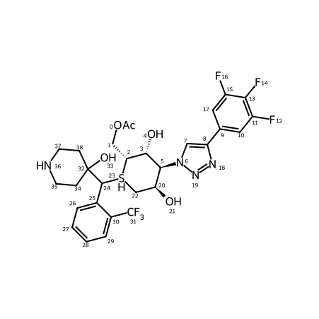 CC(=O)OC[C@@H]1[C@H](O)[C@@H](n2cc(-c3cc(F)c(F)c(F)c3)nn2)[C@@H](O)C[SH]1C(c1ccccc1C(F)(F)F)C1(O)CCNCC1